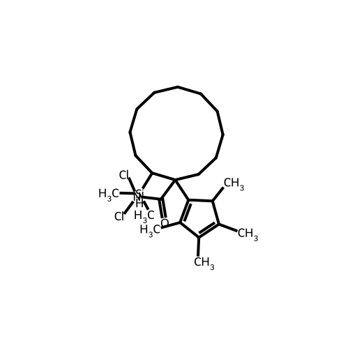 CC1=C(C)C(C)C(C2(C(=O)N(Cl)Cl)CCCCCCCCCCC2[SiH](C)C)=C1C